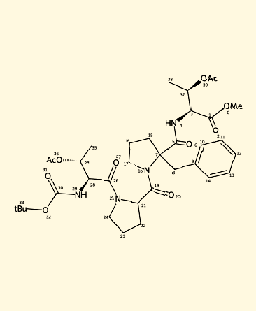 COC(=O)[C@@H](NC(=O)C1(Cc2ccccc2)CCCN1C(=O)C1CCCN1C(=O)[C@@H](NC(=O)OC(C)(C)C)[C@@H](C)OC(C)=O)[C@@H](C)OC(C)=O